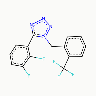 Fc1cccc(-c2nnnn2Cc2ccccc2C(F)(F)F)c1F